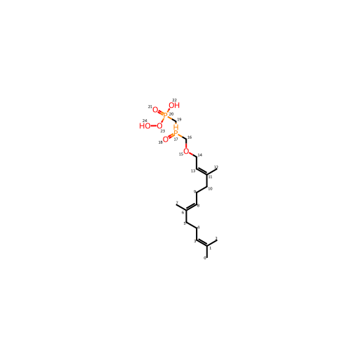 CC(C)=CCCC(C)=CCCC(C)=CCOC[PH](=O)CP(=O)(O)OO